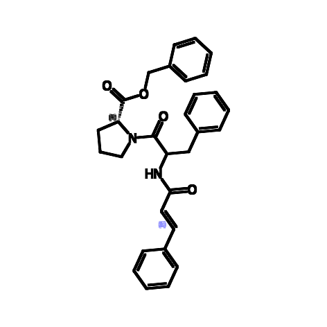 O=C(/C=C/c1ccccc1)NC(Cc1ccccc1)C(=O)N1CCC[C@@H]1C(=O)OCc1ccccc1